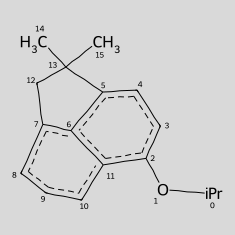 CC(C)Oc1ccc2c3c(cccc13)CC2(C)C